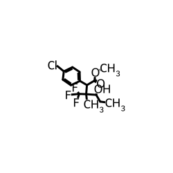 CCC(O)C(C)(C(C(=O)OC)c1ccc(Cl)cc1)C(F)(F)F